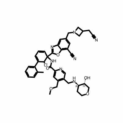 COCc1cc(C(=O)NC2(c3nc4cc(CN5CC(CC#N)C5)cc(C#N)c4o3)C=CC=C(c3ccccc3C)C2Cl)ncc1CN[C@@H]1CCOC[C@H]1O